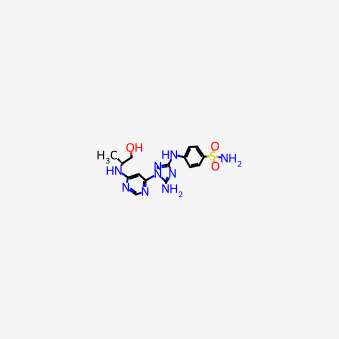 C[C@@H](CO)Nc1cc(-n2nc(Nc3ccc(S(N)(=O)=O)cc3)nc2N)ncn1